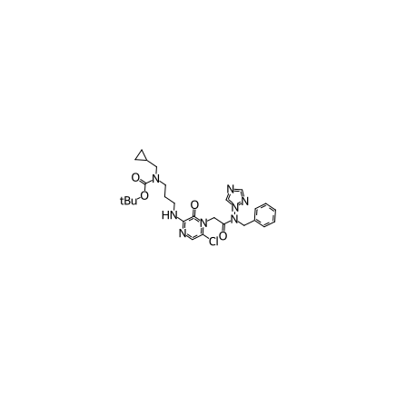 CC(C)(C)OC(=O)N(CCCNc1ncc(Cl)n(CC(=O)N(Cc2ccccc2)n2cncn2)c1=O)CC1CC1